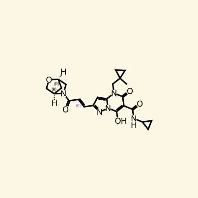 CC1(Cn2c(=O)c(C(=O)NC3CC3)c(O)n3nc(/C=C/C(=O)N4C[C@H]5C[C@@H]4CO5)cc23)CC1